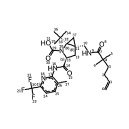 C=CCCC(C)(C)C(=O)NC[C@]12C[C@@H](C(=O)Nc3nc(C(F)(F)F)ccc3C)N(C(=O)O)[C@@]1(C(C)(C)C)C2